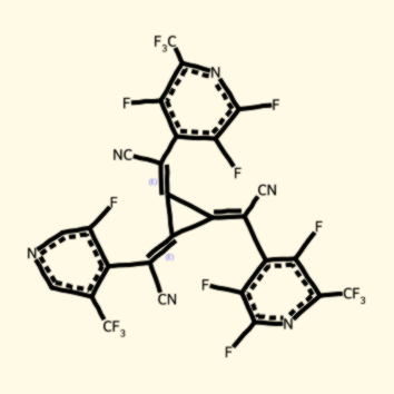 N#CC(=C1C(=C(\C#N)c2c(F)cncc2C(F)(F)F)/C1=C(\C#N)c1c(F)c(F)nc(C(F)(F)F)c1F)c1c(F)c(F)nc(C(F)(F)F)c1F